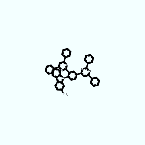 Cc1ccc2c3ccccc3n(-c3ccc(-c4cc(-c5ccccc5)nc(-c5ccccc5)n4)cc3-c3nc(-c4ccccc4)cc(-c4ccccc4)n3)c2c1